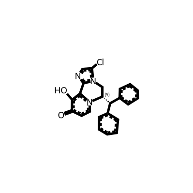 O=c1ccn2c(c1O)-c1ncc(Cl)n1C[C@@H]2C(c1ccccc1)c1ccccc1